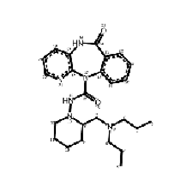 CCCN(CCC)CC1CCCCN1NC(=O)N1c2ccccc2C(=O)Nc2cccnc21